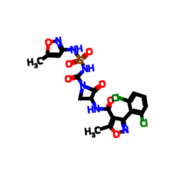 Cc1cc(NS(=O)(=O)NC(=O)N2CC(NC(=O)c3c(-c4c(Cl)cccc4Cl)noc3C)C2=O)no1